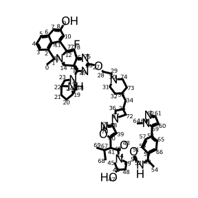 CCc1cccc2cc(O)cc(-c3ncc4c(N5CC6CCC(C5)N6)nc(OCCN5CCC(CC6CN(c7cc(C(C(=O)N8C[C@H](O)C[C@H]8C(=O)NC(C)c8ccc(-c9ccnn9C)cc8)C(C)C)on7)C6)CC5)nc4c3F)c12